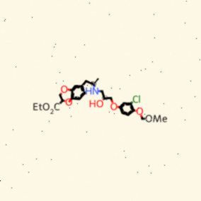 CCOC(=O)C1COc2cc(C[C@@H](C)NC[C@H](O)COc3ccc(OCOC)c(Cl)c3)ccc2O1